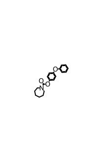 O=C(Oc1ccc(Oc2ccccc2)cc1)N1CCCCCC1